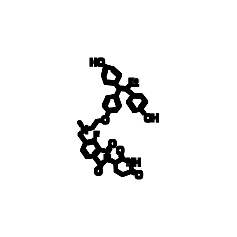 CCC(=C(c1ccc(O)cc1)c1ccc(OCCN(C)Cc2ccc3c(c2F)C(=O)N(C2CCC(=O)NC2=O)C3=O)cc1)c1ccc(O)cc1